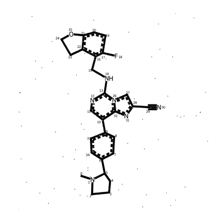 CN1CCCC1c1ccc(-c2cnc(NCc3c(F)ccc4c3CCO4)n3cc(C#N)nc23)cc1